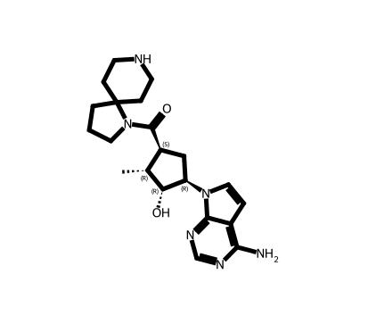 C[C@H]1[C@@H](O)[C@H](n2ccc3c(N)ncnc32)C[C@@H]1C(=O)N1CCCC12CCNCC2